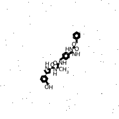 C[C@H](NC(=O)[C@H]1C[C@H](c2cccc(CO)c2)CN1)C(=O)NCc1ccc(C(=N)NC(=O)OCc2ccccc2)cc1